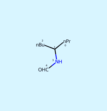 [CH2]CCC(CCCC)NC=O